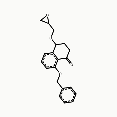 O=C1CCC(OCC2CO2)c2cccc(OCc3ccccc3)c21